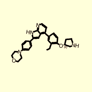 CCc1cc(-c2ccnc3[nH]c(-c4ccc(N5CCOCC5)cc4)cc23)ccc1O[C@@H]1CCNC1